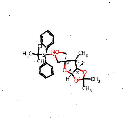 C[C@H]1[C@H]2OC(C)(C)O[C@H]2O[C@@]1(CO)CO[Si](c1ccccc1)(c1ccccc1)C(C)(C)C